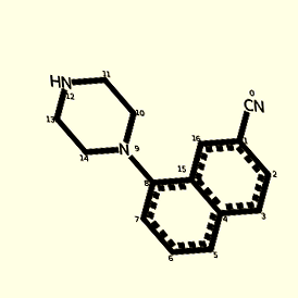 N#Cc1ccc2cccc(N3CCNCC3)c2c1